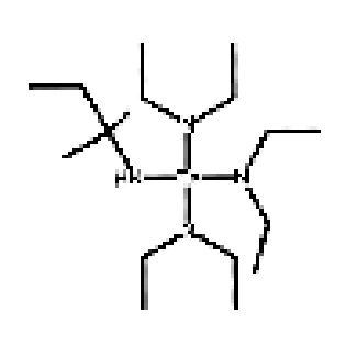 CC[N](CC)[Ta]([NH]C(C)(C)CC)([N](CC)CC)[N](CC)CC